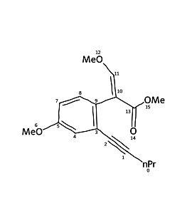 CCCC#Cc1cc(OC)ccc1/C(=C\OC)C(=O)OC